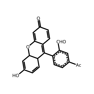 CC(=O)c1ccc(C2=C3C=CC(=O)C=C3OC3C=C(O)C=CC23)c(C=O)c1